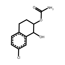 NC(=O)OC1CCc2ccc(Cl)cc2C1O